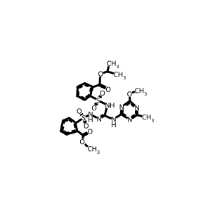 COC(=O)c1ccccc1S(=O)(=O)NN=C(Nc1nc(C)nc(OC)n1)NS(=O)(=O)c1ccccc1C(=O)OC(C)C